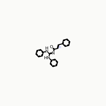 O=C(/C=C/c1ccccc1)N=C(Nc1ccccc1)Nc1ccccc1